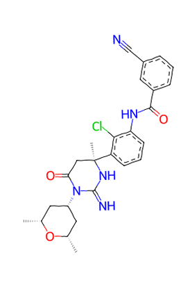 C[C@@H]1C[C@H](N2C(=N)N[C@](C)(c3cccc(NC(=O)c4cccc(C#N)c4)c3Cl)CC2=O)C[C@H](C)O1